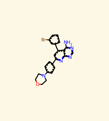 Nc1ncnc2nc(-c3ccc(N4CCOCC4)cc3)cc(-c3cccc(Br)c3)c12